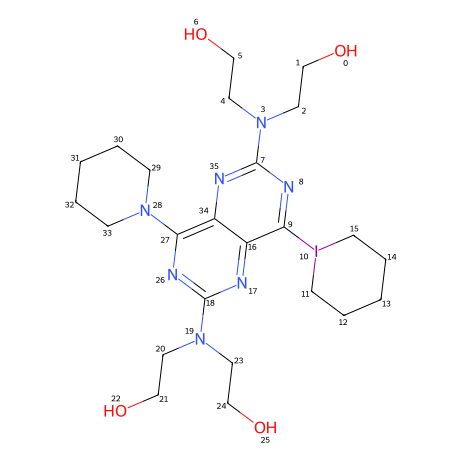 OCCN(CCO)c1nc(I2CCCCC2)c2nc(N(CCO)CCO)nc(N3CCCCC3)c2n1